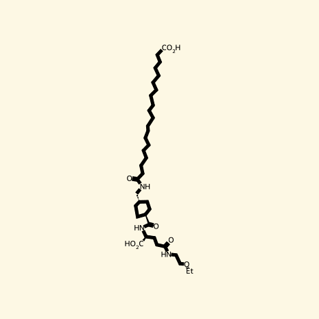 CCOCCNC(=O)CC[C@H](NC(=O)[C@H]1CC[C@H](CNC(=O)CCCCCCCCCCCCCCCCCCC(=O)O)CC1)C(=O)O